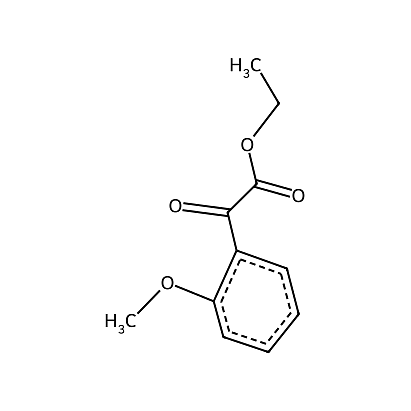 CCOC(=O)C(=O)c1ccccc1OC